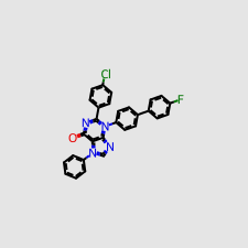 O=c1nc(-c2ccc(Cl)cc2)n(-c2ccc(-c3ccc(F)cc3)cc2)c2ncn(-c3ccccc3)c12